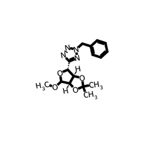 COC1O[C@H](c2nnn(Cc3ccccc3)n2)[C@H]2OC(C)(C)O[C@@H]12